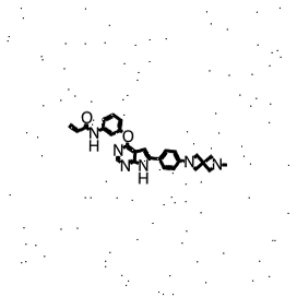 C=CC(=O)Nc1cccc(Oc2ncnc3[nH]c(-c4ccc(N5CC6(CN(C)C6)C5)cc4)cc23)c1